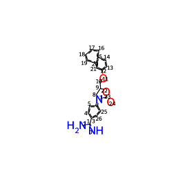 N=C(N)c1ccc(N2CC(COc3ccc4ccccc4c3)OC2=O)cc1